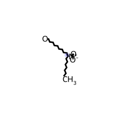 CCCCCCCC/C(=C\CCCCCCCC=O)[N+](=O)[O-]